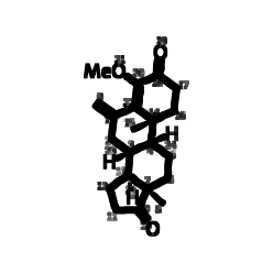 C=C1C[C@@H]2[C@@H](CC[C@]3(C)C(=O)CC[C@@H]23)[C@@]2(C)CCC(=O)C(OC)=C12